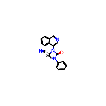 N#C[C@H]1CN(c2ccccc2)C(=O)N1c1cncc2ccccc12